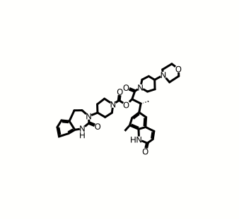 Cc1cc([C@@H](C)C(OC(=O)N2CCC(N3CCc4ccccc4NC3=O)CC2)C(=O)N2CCC(N3CCOCC3)CC2)cc2ccc(=O)[nH]c12